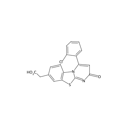 O=C(O)Cc1ccc2c(c1)sc1nc(=O)cc(-c3ccccc3Cl)n12